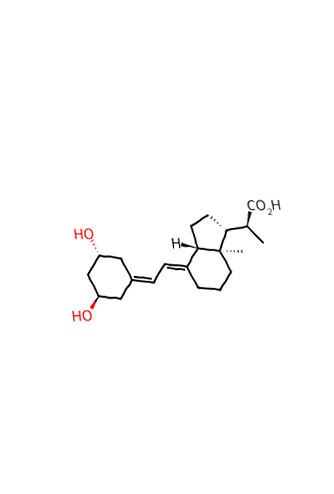 C[C@H](C(=O)O)[C@H]1CC[C@H]2/C(=C/C=C3C[C@@H](O)C[C@H](O)C3)CCC[C@]12C